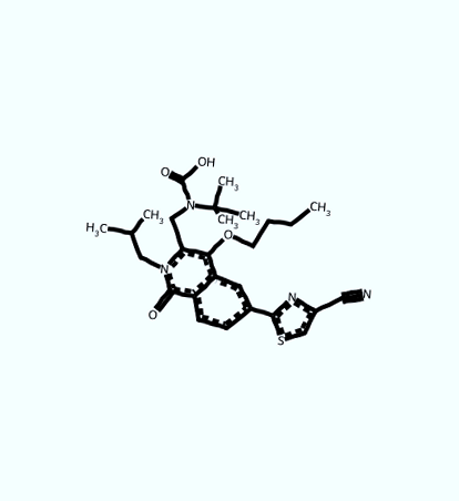 CCCCOc1c(CN(C(=O)O)C(C)(C)C)n(CC(C)C)c(=O)c2ccc(-c3nc(C#N)cs3)cc12